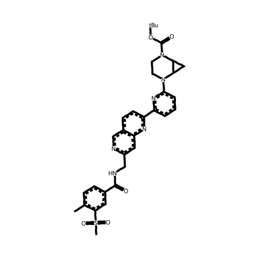 Cc1ccc(C(=O)NCc2cc3nc(-c4cccc(N5CCN(C(=O)OC(C)(C)C)C6CC65)n4)ccc3cn2)cc1S(C)(=O)=O